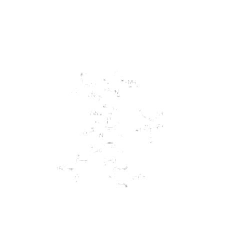 CC(C)C(=O)ON=C(C(=O)NC1C(=O)N2C(C(=O)OCOC(=O)C(C)(C)C)=C(COc3cccc(F)c3)CS[C@@H]12)c1csc(N)n1.O=C(O)C(F)(F)F